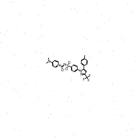 Cc1ccc(-c2cc(C(F)(F)F)nn2-c2ccc(S(=O)(=O)/N=C(\[O-])[n+]3ccc(N(C)C)cc3)cc2)cc1